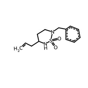 C=CCC1CCN(Cc2ccccc2)S(=O)(=O)N1